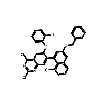 Clc1nc(Cl)c2cc(Oc3ccccc3Cl)c(-c3cc(OCc4ccccc4)cc4cccc(Cl)c34)cc2n1